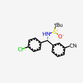 CC(C)(C)[S+]([O-])N[C@@H](c1ccc(Cl)cc1)c1cccc(C#N)c1